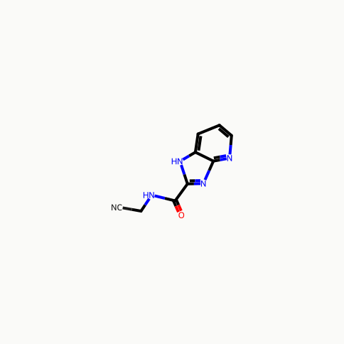 N#CCNC(=O)c1nc2ncccc2[nH]1